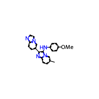 COc1ccc(Nc2c(-c3ccc4nccn4c3)nc3ccc(C)cn23)cc1